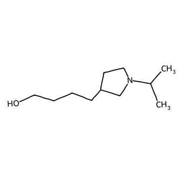 CC(C)N1CCC(CCCCO)C1